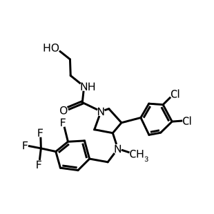 CN(Cc1ccc(C(F)(F)F)c(F)c1)C1CN(C(=O)NCCO)CC1c1ccc(Cl)c(Cl)c1